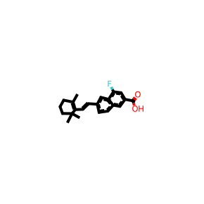 CC1=C(/C=C/c2ccc3cc(C(=O)O)cc(F)c3c2)C(C)(C)CCC1